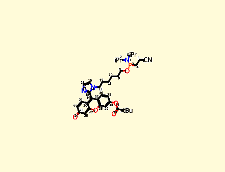 CC(C)N(C(C)C)P(CCC#N)OCCCCCCn1ccnc1-c1c2ccc(=O)cc-2oc2cc(OC(=O)C(C)(C)C)ccc12